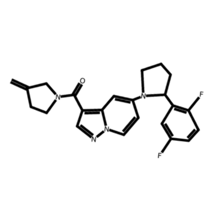 C=C1CCN(C(=O)c2cnn3ccc(N4CCCC4c4cc(F)ccc4F)cc23)C1